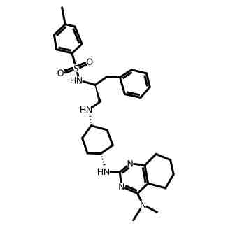 Cc1ccc(S(=O)(=O)N[C@H](CN[C@H]2CC[C@@H](Nc3nc4c(c(N(C)C)n3)CCCC4)CC2)Cc2ccccc2)cc1